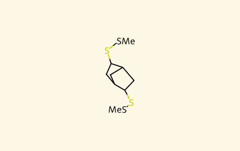 CSSC1CC2CC1CC2SSC